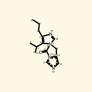 CCCC1=C(C(C)C)[N+](CC)(C(=O)n2ccnc2)C=N1